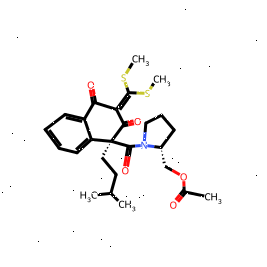 CSC(SC)=C1C(=O)c2ccccc2[C@](CCC(C)C)(C(=O)N2CCC[C@@H]2COC(C)=O)C1=O